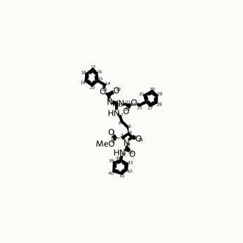 COC(=O)[C@@H]1[C@@H](CCCNC(=NC(=O)OCc2ccccc2)NC(=O)OCc2ccccc2)C(=O)N1C(=O)Nc1ccccc1